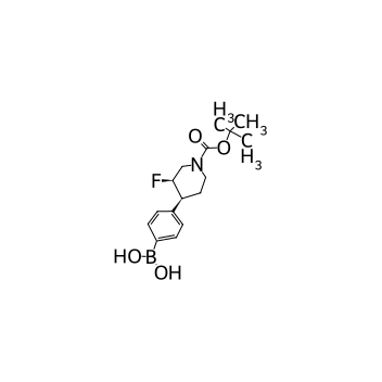 CC(C)(C)OC(=O)N1CC[C@@H](c2ccc(B(O)O)cc2)[C@@H](F)C1